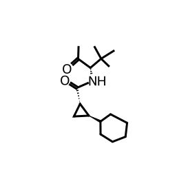 CC(=O)[C@@H](NC(=O)[C@H]1C[C@@H]1C1CCCCC1)C(C)(C)C